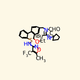 CCCC/C(=N/C1(C)CCCC1)N(C=O)Cc1ccc(-c2ccccc2SNc2noc(C)c2C(F)(F)F)c(COCC)c1